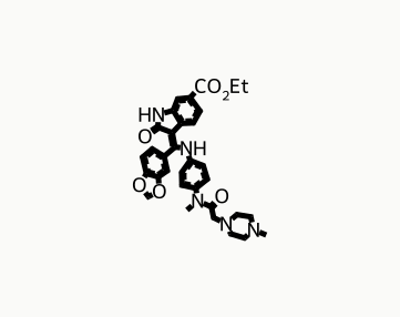 CCOC(=O)c1ccc2c(c1)NC(=O)C2=C(Nc1ccc(N(C)C(=O)CN2CCN(C)CC2)cc1)c1ccc2c(c1)OCO2